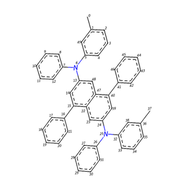 Cc1cccc(N(c2ccccc2)c2cc(-c3ccccc3)c3cc(N(c4ccccc4)c4cccc(C)c4)cc(-c4ccccc4)c3c2)c1